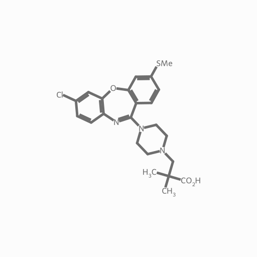 CSc1ccc2c(c1)Oc1cc(Cl)ccc1N=C2N1CCN(CC(C)(C)C(=O)O)CC1